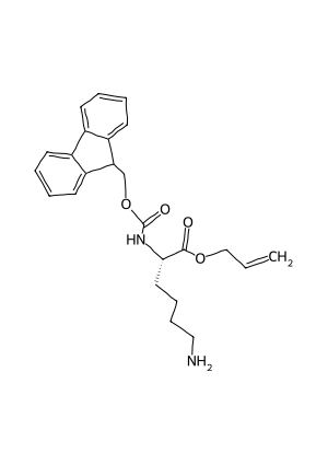 C=CCOC(=O)[C@H](CCCCN)NC(=O)OCC1c2ccccc2-c2ccccc21